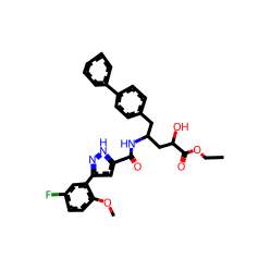 CCOC(=O)C(O)CC(Cc1ccc(-c2ccccc2)cc1)NC(=O)c1cc(-c2cc(F)ccc2OC)n[nH]1